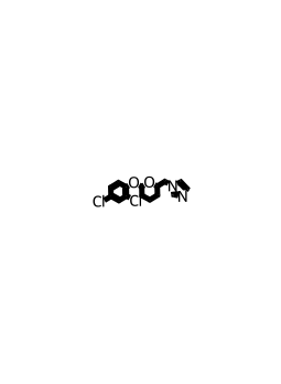 Clc1ccc(OC2CCCC(Cn3ccnc3)O2)c(Cl)c1